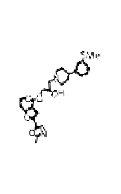 CSc1cccc(C2CCN(CC(O)COc3cccc4oc(-c5nnc(C)o5)cc34)CC2)c1